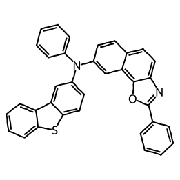 c1ccc(-c2nc3ccc4ccc(N(c5ccccc5)c5ccc6sc7ccccc7c6c5)cc4c3o2)cc1